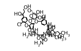 CN[C@H](CC(C)C)C(=O)N[C@H]1C(=O)N[C@@H](CC(N)=O)C(=O)N[C@@H](C(N)=O)c2cc(c(O[C@H]3C[C@@H](O)[C@H](O)[C@@H](CO)O3)c(Oc3ccc([C@@H](O)CC=O)cc3Cl)c2)Oc2ccc(cc2Cl)[C@H]1O